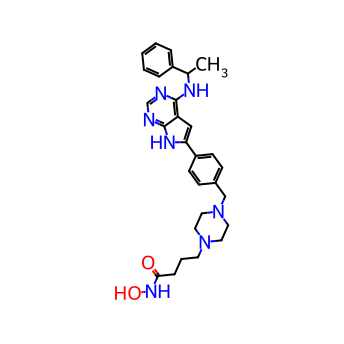 CC(Nc1ncnc2[nH]c(-c3ccc(CN4CCN(CCCC(=O)NO)CC4)cc3)cc12)c1ccccc1